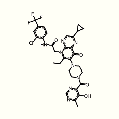 CCc1c(N2CCN(C(=O)c3ncnc(C)c3O)CC2)c(=O)c2nc(C3CC3)cnc2n1CC(=O)Nc1ccc(C(F)(F)F)cc1Cl